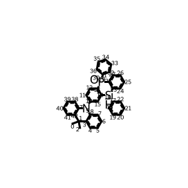 CC1(C)c2ccccc2N(c2ccc3c(c2)[SiH](c2ccccc2)c2ccccc2P3(=O)c2ccccc2)c2ccccc21